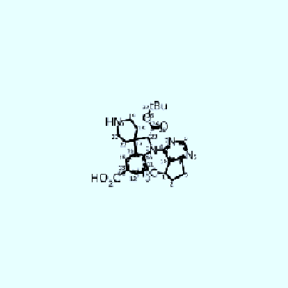 C[C@@H]1CCc2ncnc(N3c4ccc(C(=O)O)cc4C4(CCNCC4)[C@@H]3C(=O)OC(C)(C)C)c21